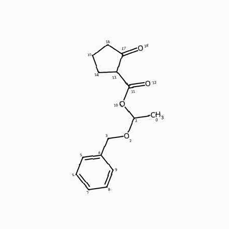 CC(OCc1ccccc1)OC(=O)C1CCCC1=O